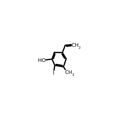 C=Cc1cc(C)c(I)c(O)c1